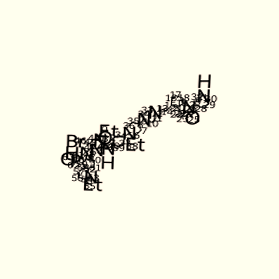 CCOc1cc(N2CCC(N3CCN(CCc4cccc5c4C(C)(C)C(=O)N5C4CCCNC4)CC3)CC2)c(CC)cc1Nc1ncc(Br)c(Nc2ccc3nc(CC)ccc3c2P(C)(C)=O)n1